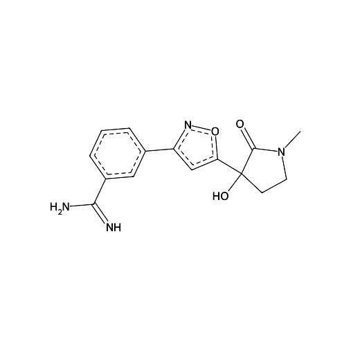 CN1CCC(O)(c2cc(-c3cccc(C(=N)N)c3)no2)C1=O